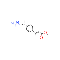 COC(=O)C=C(C)c1ccc([C@@H](C)CN)cc1